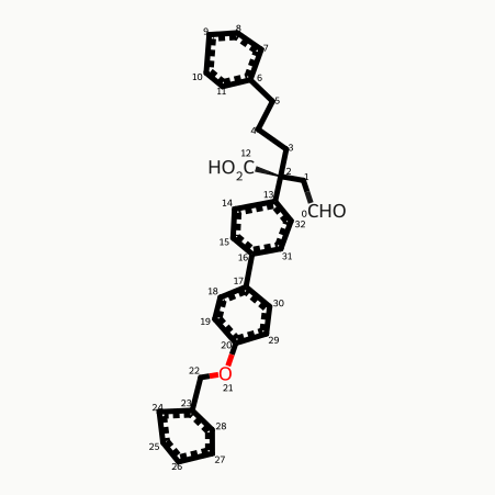 O=CC[C@](CCCc1ccccc1)(C(=O)O)c1ccc(-c2ccc(OCc3ccccc3)cc2)cc1